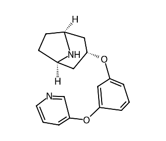 c1cncc(Oc2cccc(O[C@@H]3C[C@H]4CC[C@@H](C3)N4)c2)c1